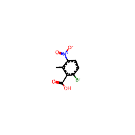 Cc1c([N+](=O)[O-])ccc(Br)c1C(=O)O